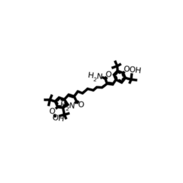 CC(C)(C)c1cc(C=C(CCCCCCC(=Cc2cc(C(C)(C)C)c(OO)c(C(C)(C)C)c2)C(N)=O)C(N)=O)cc(C(C)(C)C)c1OO